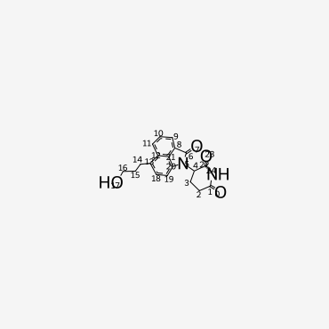 O=C1CCC(N2C(=O)c3cccc4c(CCCO)ccc2c34)C(=O)N1